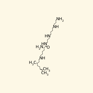 CC(C)=CCC[C@@H](C)CCNCCCC[C@H](N)C(=O)NCCCNCCCCNCCCN